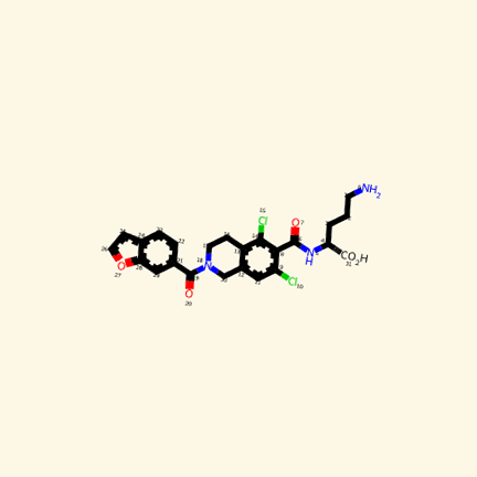 NCCCC(NC(=O)c1c(Cl)cc2c(c1Cl)CCN(C(=O)c1ccc3ccoc3c1)C2)C(=O)O